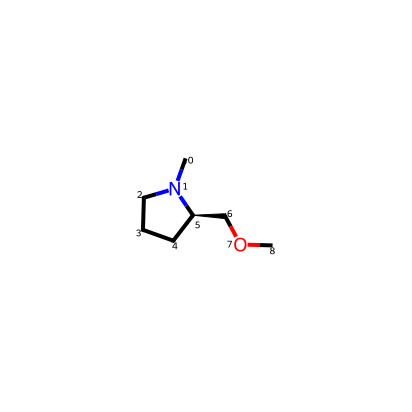 [CH2]N1CCC[C@@H]1COC